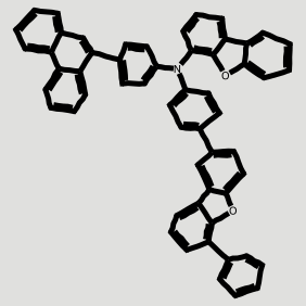 c1ccc(-c2cccc3c2oc2ccc(-c4ccc(N(c5ccc(-c6cc7ccccc7c7ccccc67)cc5)c5cccc6c5oc5ccccc56)cc4)cc23)cc1